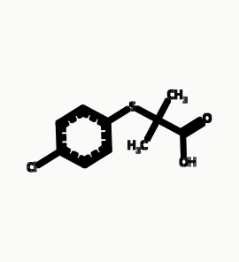 CC(C)(Sc1ccc(Cl)cc1)C(=O)O